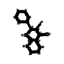 O=c1c(I)c(-c2ccccc2)oc2ncccc12